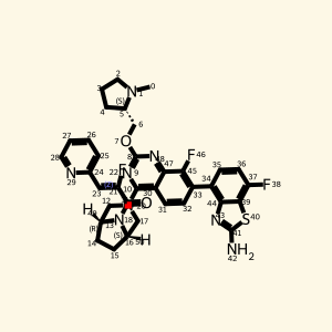 CN1CCC[C@H]1COc1nc(N2C[C@H]3CC[C@@H](C2)N3C(=O)/C(F)=C/c2ccccn2)c2ccc(-c3ccc(F)c4sc(N)nc34)c(F)c2n1